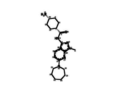 Cn1nc(NC(=O)[C@H]2CC[C@@H](N)CC2)c2ccc(N3CCCCCC3)nc21